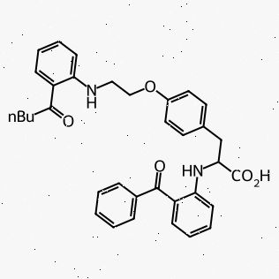 CCCCC(=O)c1ccccc1NCCOc1ccc(CC(Nc2ccccc2C(=O)c2ccccc2)C(=O)O)cc1